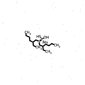 CCCCC(CC)CS(CC(CC)CCCC)=[P](O)(S)[Mo]